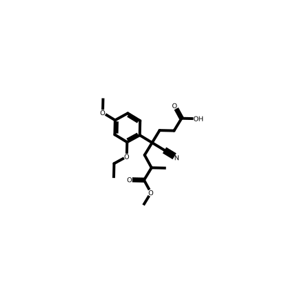 CCOc1cc(OC)ccc1C(C#N)(CCC(=O)O)CC(C)C(=O)OC